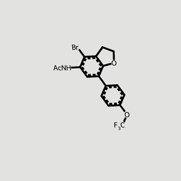 CC(=O)Nc1cc(-c2ccc(OC(F)(F)F)cc2)c2c(c1Br)CCO2